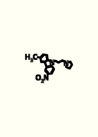 Cc1ccc2c(c1)c1cc([N+](=O)[O-])ccc1n2CCCN1CCCC1